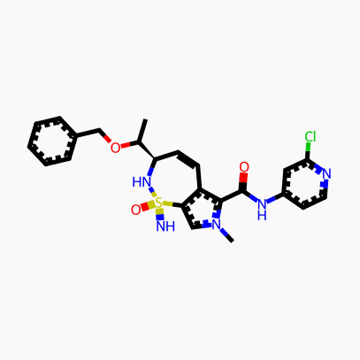 CC(OCc1ccccc1)[C@H]1C=Cc2c(cn(C)c2C(=O)Nc2ccnc(Cl)c2)S(=N)(=O)N1